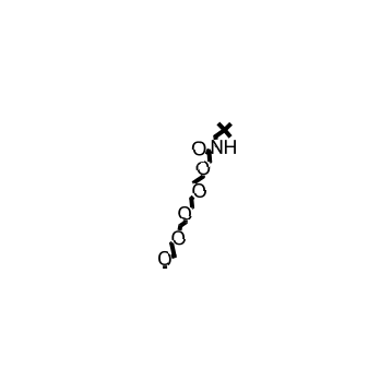 COCCOCCOCCOCCOCC(=O)NCC(C)(C)C